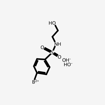 [B+2]c1ccc(S(=O)(=O)NCCO)cc1.[OH-].[OH-]